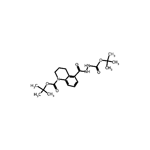 CC(C)(C)OC(=O)NNC(=O)c1cccc2c1CCCN2C(=O)OC(C)(C)C